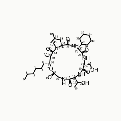 CCCCCC[C@H]1OC(=O)CNC(=O)[C@H](C(C)O)NC(=O)[C@H](CO)NC(=O)[C@H](C2CCCCC2)NC(=O)[C@H](CC(C)C)N(C)C(=O)[C@@H]1C